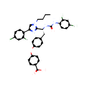 CCCCn1cc(-c2ccc(Cl)cc2Cl)nc1[C@H](Cc1ccc(Oc2ccc(C(=O)O)cc2)cc1)NC(=O)Nc1ccc(Cl)cc1Cl